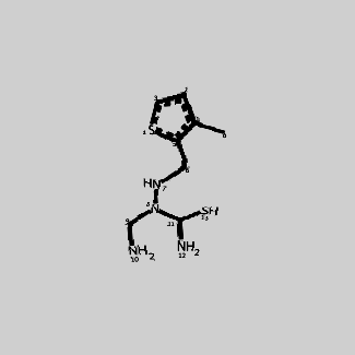 Cc1ccsc1CNN(CN)C(N)S